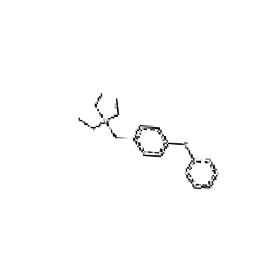 CC[Si](CC)(CC)Cc1ccc([I+]c2ccccc2)cc1